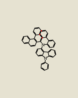 c1ccc(-c2ccccc2N(c2cc3ccccc3c3c2ccc2ccccc23)c2cccc3c2c2ccccc2n3-c2ccccc2)cc1